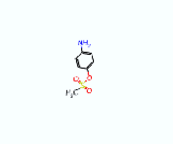 CS(=O)(=O)Oc1ccc(N)cc1